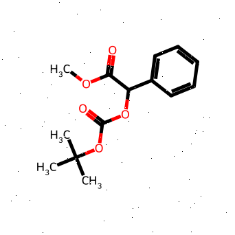 COC(=O)C(OC(=O)OC(C)(C)C)c1ccccc1